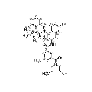 CCCN(CCC)C(=O)c1cc(C)cc(C(=O)NC(Cc2cc(F)cc(F)c2)C(O)CN(Cc2cccc(I)c2)C(=O)OC(C)(C)C)c1